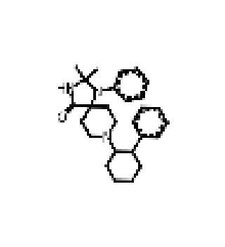 CC1(C)NC(=O)C2(CCN(C3CCCCC3c3ccccc3)CC2)N1c1ccccc1